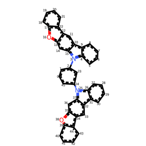 c1cc(-n2c3ccccc3c3cc4c(cc32)oc2ccccc24)cc(-n2c3ccccc3c3cc4c(cc32)oc2ccccc24)c1